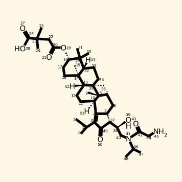 CC(C)C1=C2C(CC[C@]3(C)[C@@H]2CC[C@@H]2[C@@]4(C)CC[C@H](OC(=O)CC(C)(C)C(=O)O)C(C)(C)[C@@H]4CC[C@]23C)[C@H]([C@@H](O)CN(C(=O)CN)C(C)C)C1=O